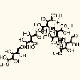 O=C(O)C(O)C(O)C(O)C(O)C(=O)O.O=C(O)C(O)C(O)C(O)C(O)C(=O)O.O=CC(O)C(O)C(O)C(O)C(=O)O.O=CC(O)C(O)C(O)C(O)CO.O=CC(O)C(O)C(O)C(O)CO